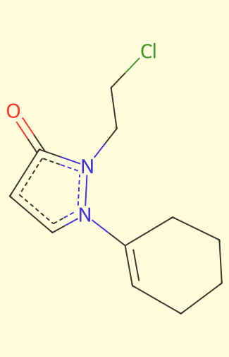 O=c1ccn(C2=CCCCC2)n1CCCl